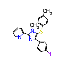 Cc1ccc(Sc2c(-c3ccc(I)cc3)nc(-c3ccccn3)n2C)cc1